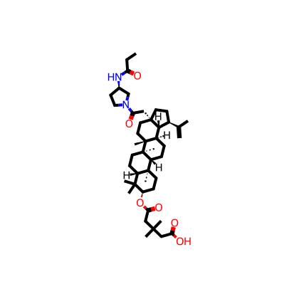 C=C(C)[C@@H]1CC[C@]2(CC(=O)N3CC[C@@H](NC(=O)CC)C3)CC[C@]3(C)[C@H](CC[C@@H]4[C@@]5(C)CC[C@H](OC(=O)CC(C)(C)CC(=O)O)C(C)(C)[C@@H]5CC[C@]43C)[C@@H]12